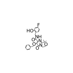 CC1(C)OCCn2c1nc(C(=O)NCc1ccc(F)cc1O)c(OCc1ccccc1)c2=O